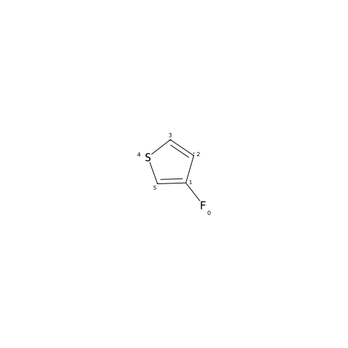 Fc1[c]csc1